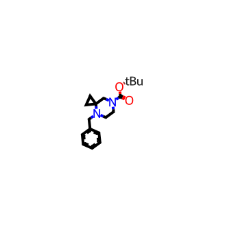 CC(C)(C)OC(=O)N1CCN(Cc2ccccc2)C2(CC2)C1